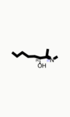 CCCCC[C@@H](O)/C(C)=N/C